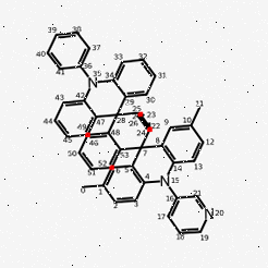 Cc1ccc2c(c1)C1(c3cc(C)ccc3N2c2cccnc2)c2ccccc2C2(c3ccccc3N(c3ccccc3)c3ccccc32)c2ccccc21